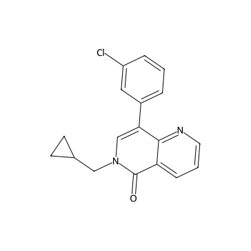 O=c1c2cccnc2c(-c2cccc(Cl)c2)cn1CC1CC1